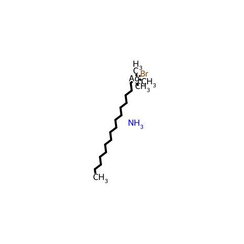 CCCCCCCCCCCCCCC[CH2][Ag]([CH3])([CH3])([CH3])[Br].N